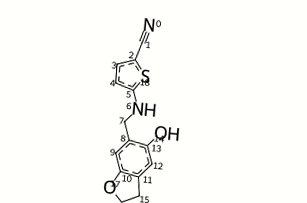 N#Cc1ccc(NCc2cc3c(cc2O)CCO3)s1